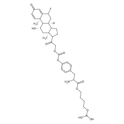 C[C@]12C[C@H](O)C3[C@@H](CC(F)C4=CC(=O)C=C[C@@]43C)C1CCC2C(=O)COC(=O)Oc1ccc(CC(N)C(=O)OCCCCON(O)O)cc1